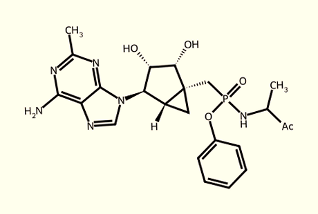 CC(=O)C(C)NP(=O)(C[C@]12C[C@@H]1[C@@H](n1cnc3c(N)nc(C)nc31)[C@H](O)[C@@H]2O)Oc1ccccc1